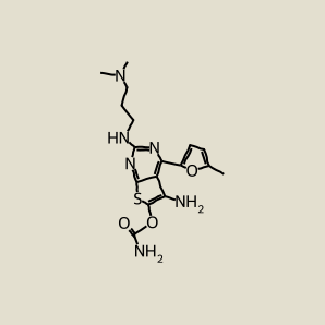 Cc1ccc(-c2nc(NCCCN(C)C)nc3sc(OC(N)=O)c(N)c23)o1